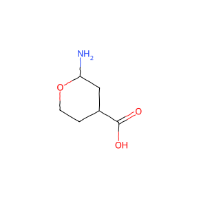 NC1CC(C(=O)O)CCO1